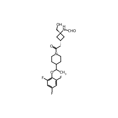 CC(Oc1c(F)cc(F)cc1F)C1CCN(C(=O)C[C@H]2C[C@@](CO)(NC=O)C2)CC1